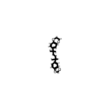 CC(C)(CCC(C)(C)c1ccc2c(c1)OCO2)c1ccc2c(c1)OCCO2